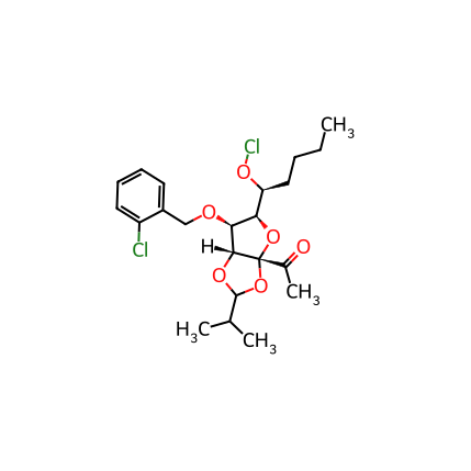 CCCC[C@H](OCl)[C@H]1O[C@]2(C(C)=O)OC(C(C)C)O[C@@H]2[C@H]1OCc1ccccc1Cl